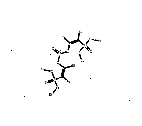 CCOP(=O)(OCC)/C(CC)=C(/CC)O[PH](=O)O/C(CC)=C(/CC)P(=O)(OCC)OCC